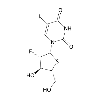 O=c1[nH]c(=O)n([C@@H]2S[C@H](CO)[C@@H](O)[C@@H]2F)cc1I